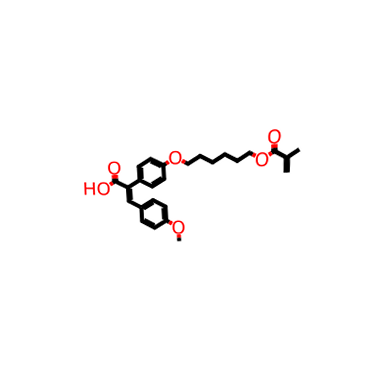 C=C(C)C(=O)OCCCCCCOc1ccc(/C(=C\c2ccc(OC)cc2)C(=O)O)cc1